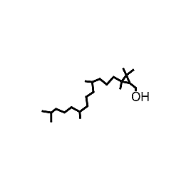 CC(C)CCCC(C)CCCC(C)CCCC1(C)C(CO)C1(C)C